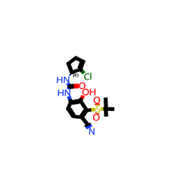 CC(C)(C)S(=O)(=O)c1c(C#N)ccc(NC(=O)N[C@@H]2CCC=C2Cl)c1O